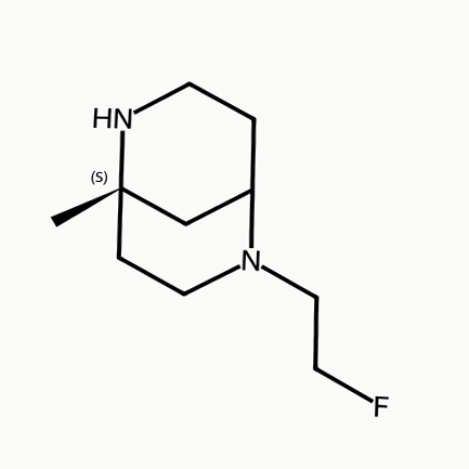 C[C@@]12CCN(CCF)C(CCN1)C2